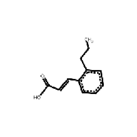 CCCc1ccccc1C=CC(=O)O